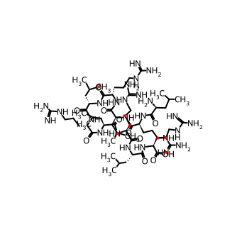 CC(C)C[C@H](NC(=O)[C@H](CCCNC(=N)N)NC(=O)[C@H](CC(C)C)NC(=O)[C@H](CCCNC(=N)N)NC(=O)[C@H](CC(C)C)NC(=O)[C@H](CCCNC(=N)N)NC(=O)[C@H](CC(C)C)NC(=O)[C@H](CCCNC(=N)N)NC(=O)[C@@H](N)CC(C)C)C(=O)N[C@@H](CCCNC(=N)N)C(=O)O